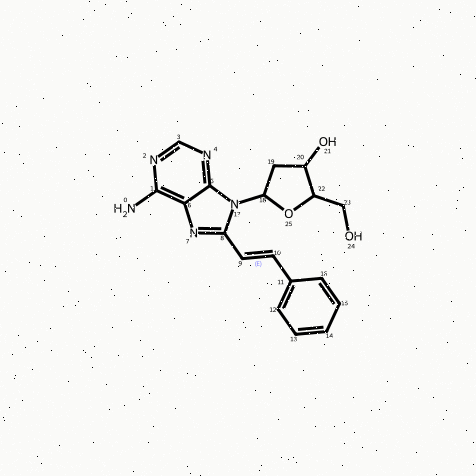 Nc1ncnc2c1nc(/C=C/c1ccccc1)n2C1CC(O)C(CO)O1